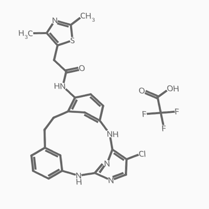 Cc1nc(C)c(CC(=O)Nc2ccc3cc2CCc2cccc(c2)Nc2ncc(Cl)c(n2)N3)s1.O=C(O)C(F)(F)F